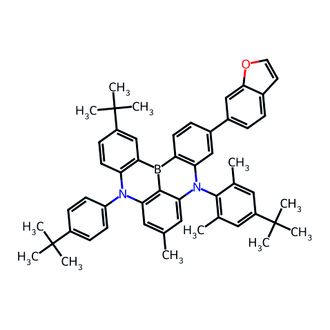 Cc1cc2c3c(c1)N(c1c(C)cc(C(C)(C)C)cc1C)c1cc(-c4ccc5ccoc5c4)ccc1B3c1cc(C(C)(C)C)ccc1N2c1ccc(C(C)(C)C)cc1